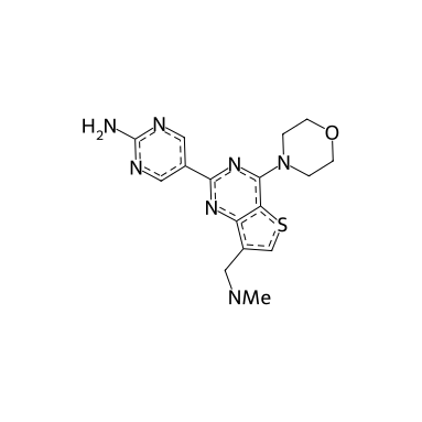 CNCc1csc2c(N3CCOCC3)nc(-c3cnc(N)nc3)nc12